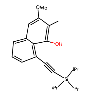 COc1cc2cccc(C#C[Si](C(C)C)(C(C)C)C(C)C)c2c(O)c1C